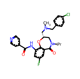 CC(C)N1C[C@@H](CN(C)Cc2ccc(Cl)cc2)Oc2c(NC(=O)c3ccncc3)cc(F)cc2C1=O